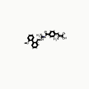 COc1ccccc1-c1ccccc1CN/C(N)=N/C(=O)c1ccc(C[C@H](N)C(=O)O)cc1